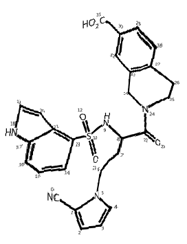 N#Cc1cccn1CCC(NS(=O)(=O)c1cccc2[nH]ccc12)C(=O)N1CCc2ccc(C(=O)O)cc2C1